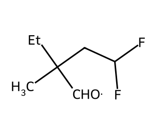 CCC(C)([C]=O)CC(F)F